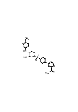 CC(=O)c1cc(-c2ccc(S(=O)(=O)N3CC[C@@H](Nc4ccc(C)cn4)[C@@H](O)C3)cc2)ccn1